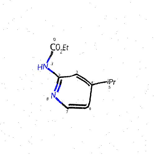 CCOC(=O)Nc1cc(C(C)C)ccn1